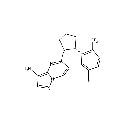 Nc1cnn2ccc(N3CCC[C@@H]3c3cc(F)ccc3C(F)(F)F)nc12